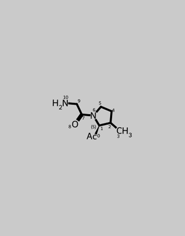 CC(=O)[C@@H]1C(C)CCN1C(=O)CN